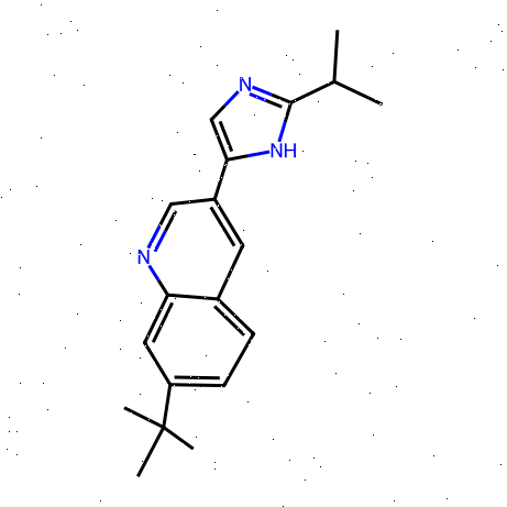 CC(C)c1ncc(-c2cnc3cc(C(C)(C)C)ccc3c2)[nH]1